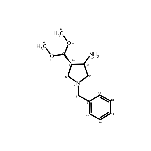 COC(OC)[C@@H]1CN(Cc2ccccc2)CC1N